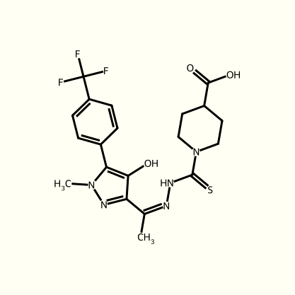 CC(=NNC(=S)N1CCC(C(=O)O)CC1)c1nn(C)c(-c2ccc(C(F)(F)F)cc2)c1O